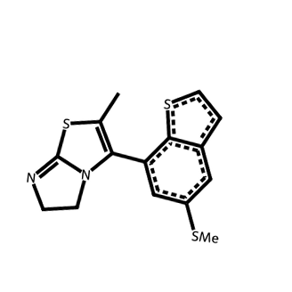 CSc1cc(C2=C(C)SC3=NCCN32)c2sccc2c1